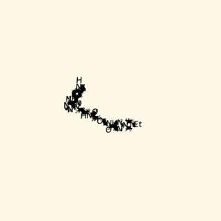 CCN1CCN(c2ncc(C(=O)NCCOCCC(=O)NCCCCn3nc(-c4ccc5[nH]ccc5c4)c4c(N)ncnc43)cn2)CC1